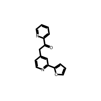 O=C(Cc1ccnc(-c2ccco2)c1)c1ccccn1